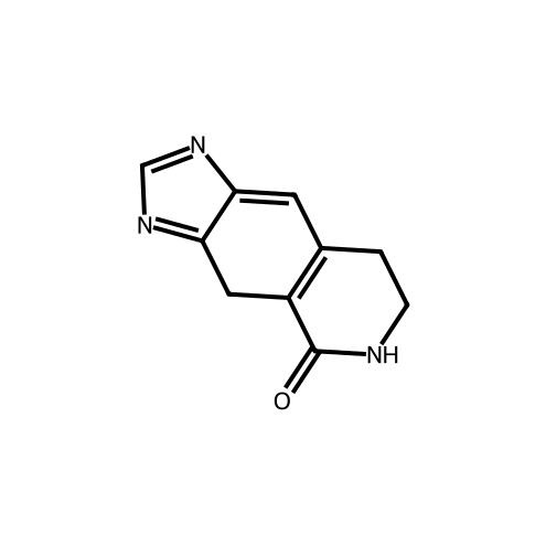 O=C1NCCC2=C1CC1=NC=NC1=C2